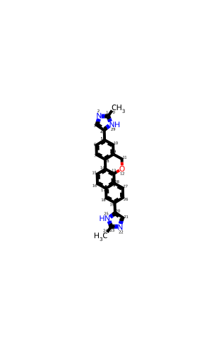 Cc1ncc(-c2ccc3c(c2)COc2c-3ccc3cc(-c4cnc(C)[nH]4)ccc23)[nH]1